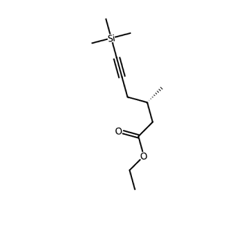 CCOC(=O)C[C@@H](C)CC#C[Si](C)(C)C